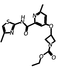 CCOC(=O)N1CC(Oc2cc(C)nc(C(=O)Nc3nc(C)cs3)c2)C1